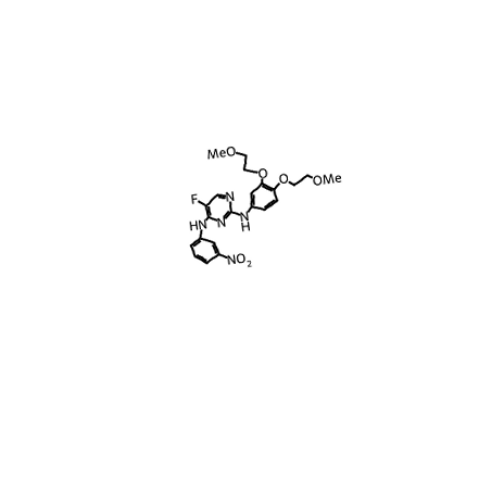 COCCOc1ccc(Nc2ncc(F)c(Nc3cccc([N+](=O)[O-])c3)n2)cc1OCCOC